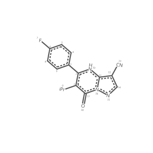 CC(C)c1c(-c2ccc(F)cc2)[nH]c2c(C#N)cnn2c1=O